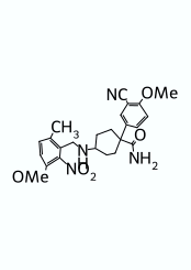 COc1ccc(C2(C(N)=O)CCC(NCc3c(C)ccc(OC)c3[N+](=O)[O-])CC2)cc1C#N